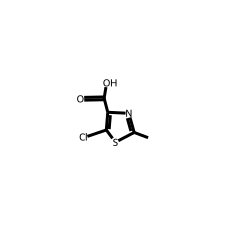 Cc1nc(C(=O)O)c(Cl)s1